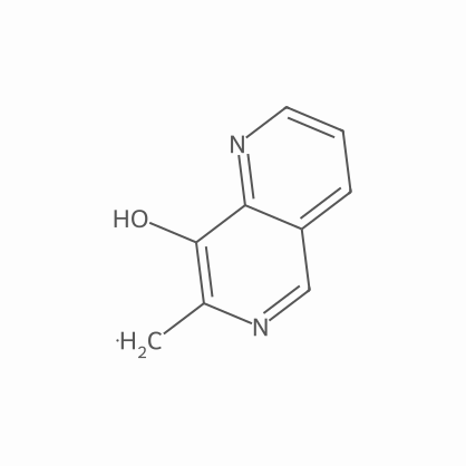 [CH2]c1ncc2cccnc2c1O